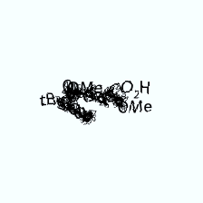 C=C1C[C@H](C[C@@H]2CC(=C)C[C@H](C=CC(C)(C)[C@@]3(OC)O[C@H](C[C@@H](O[Si](C)(C)C(C)(C)C)[C@@H](C)OCOCc4ccccc4)CCC3=O)O2)O[C@H](C[C@H](CC(=O)O)OCc2ccc(OC)cc2)C1